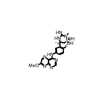 COc1cnc2c(Nc3ccc(F)c([C@]4(C)CS(O)(O)N(C)C(=N)N4)c3)ncnc2n1